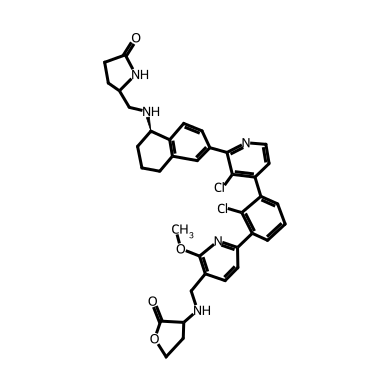 COc1nc(-c2cccc(-c3ccnc(-c4ccc5c(c4)CCC[C@H]5NCC4CCC(=O)N4)c3Cl)c2Cl)ccc1CNC1CCOC1=O